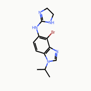 CC(C)n1cnc2c(Br)c(NC3=NCCN3)ccc21